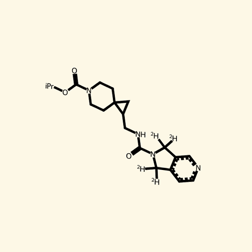 [2H]C1([2H])c2ccncc2C([2H])([2H])N1C(=O)NCC1CC12CCN(C(=O)OC(C)C)CC2